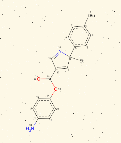 CCC1(c2ccc(C(C)(C)C)cc2)C=C(C(=O)Oc2ccc(N)cc2)C=N1